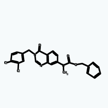 CN(C(=O)OCc1ccccc1)c1ccc2c(=O)n(Cc3ccc(Cl)c(Cl)c3)cnc2c1